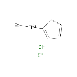 C[CH2][Ti+2][C]1=CC=CC1.[Cl-].[Cl-]